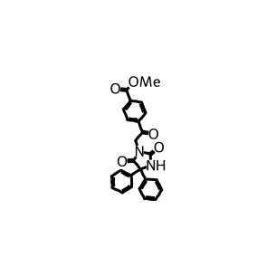 COC(=O)c1ccc(C(=O)CN2C(=O)NC(c3ccccc3)(c3ccccc3)C2=O)cc1